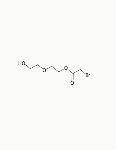 O=C(CBr)OCCOCCO